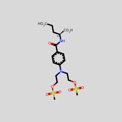 CS(=O)(=O)OCCN(CCOS(C)(=O)=O)c1ccc(C(=O)N[C@@H](CCC(=O)O)C(=O)O)cc1